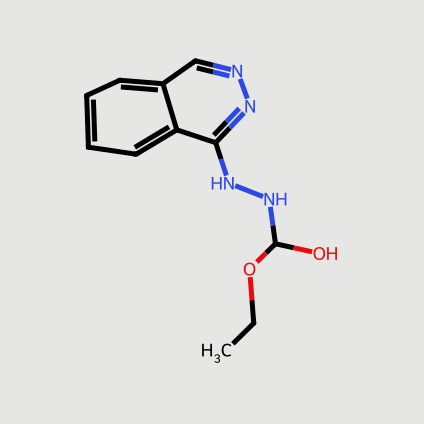 CCOC(O)NNc1nncc2ccccc12